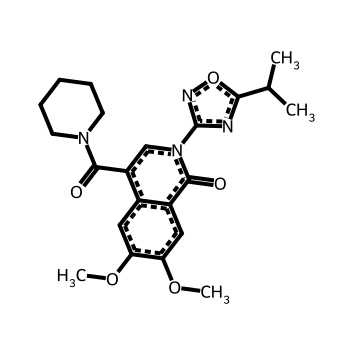 COc1cc2c(C(=O)N3CCCCC3)cn(-c3noc(C(C)C)n3)c(=O)c2cc1OC